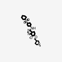 COc1c(OCC2CCN(C)CC2)ccc2c(Nc3ccc(S(=O)(=O)c4ccccc4)cc3)ncnc12